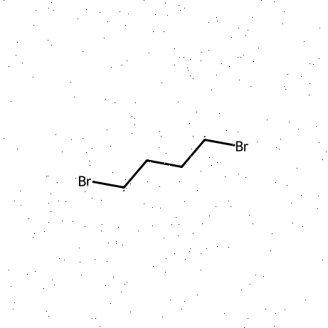 Br[CH]CC[CH]Br